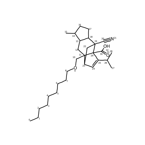 CCCCCCCCCOCC12CC3C(C)CCC3C3(C#N)CC1C=C(C(C)C)C32C(=O)O